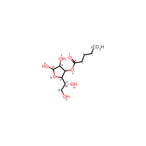 O=C(O)CCCC(=O)OC1C(O)C(O)OC1[C@H](O)CO